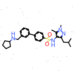 Cc1c(NS(=O)(=O)c2ccc(-c3cccc(CNC4CCCC4)c3)cc2)c(CC(C)C)nn1C